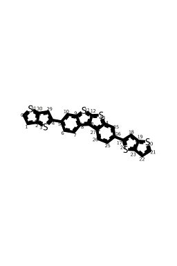 c1cc2sc(-c3ccc4c(c3)sc3sc5cc(-c6cc7sccc7s6)ccc5c34)cc2s1